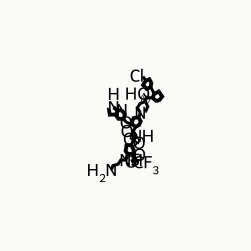 NCCCNc1ccc(S(=O)(=O)NC(=O)c2ccc(N3CCC([C@@H](O)c4ccccc4-c4ccc(Cl)cc4)CC3)cc2Oc2cnc3[nH]ccc3c2)cc1S(=O)(=O)C(F)(F)F